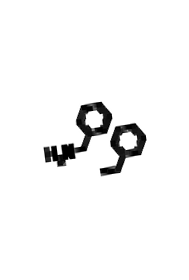 C=Cc1ccccc1.NCc1ccccc1